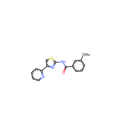 COc1cccc(C(=O)Nc2nc(-c3ccccn3)cs2)c1